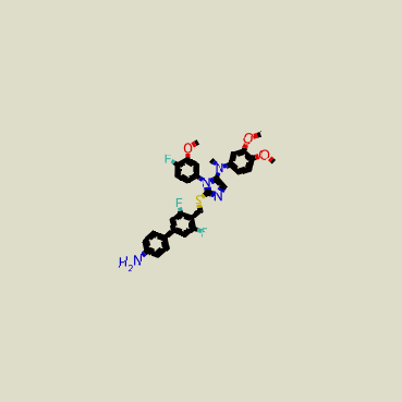 COc1cc(-n2c(N(C)c3ccc(OC)c(OC)c3)cnc2SCc2c(F)cc(-c3ccc(N)cc3)cc2F)ccc1F